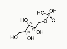 O=P(O)(O)OC[C@H](O)[C@@H](O)[C@H](O)CO